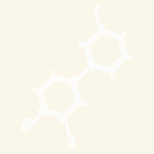 Cc1cc[c]c(-c2ccc(Cl)c(Cl)c2)c1